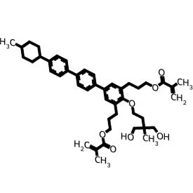 C=C(C)C(=O)OCCCc1cc(-c2ccc(-c3ccc(C4CCC(C)CC4)cc3)cc2)cc(CCCOC(=O)C(=C)C)c1OCCC(C)(CO)CO